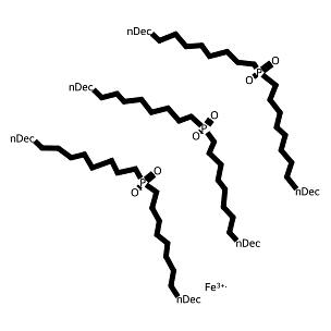 CCCCCCCCCCCCCCCCCCP(=O)([O-])CCCCCCCCCCCCCCCCCC.CCCCCCCCCCCCCCCCCCP(=O)([O-])CCCCCCCCCCCCCCCCCC.CCCCCCCCCCCCCCCCCCP(=O)([O-])CCCCCCCCCCCCCCCCCC.[Fe+3]